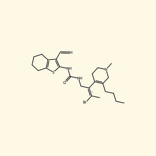 B=Cc1c(NC(=O)NC/C(C2=C(CCCC)CN(C)CC2)=C(/C)Br)sc2c1CCCC2